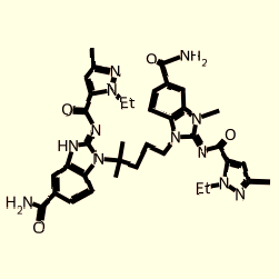 CCn1nc(C)cc1C(=O)/N=c1\n(C)c2cc(C(N)=O)ccc2n1CCCC(C)(C)n1/c(=N/C(=O)c2cc(C)nn2CC)[nH]c2cc(C(N)=O)ccc21